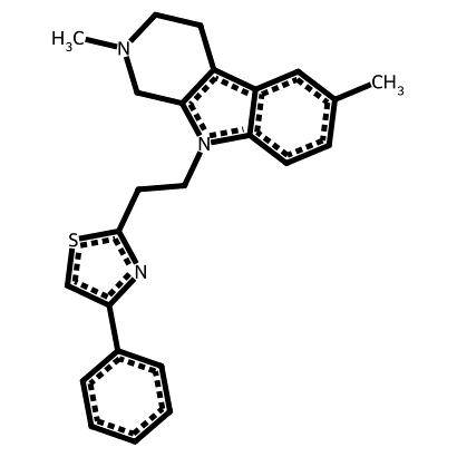 Cc1ccc2c(c1)c1c(n2CCc2nc(-c3ccccc3)cs2)CN(C)CC1